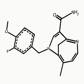 COc1ccc(CN2C=C(C(N)=O)C3=NC=CC(C)=C2C3)cc1F